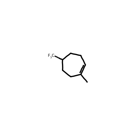 CC1=CCCC(C(F)(F)F)CC1